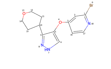 Brc1cc(Oc2c[nH]nc2C2CCOCC2)ccn1